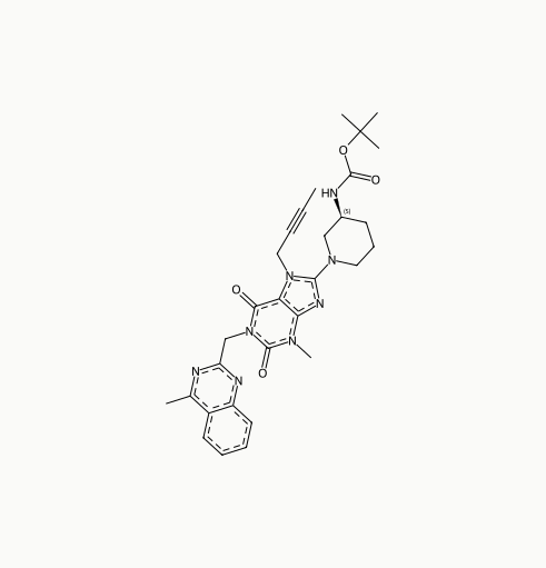 CC#CCn1c(N2CCC[C@H](NC(=O)OC(C)(C)C)C2)nc2c1c(=O)n(Cc1nc(C)c3ccccc3n1)c(=O)n2C